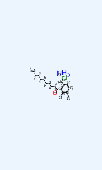 CCCCCCCCCCC(=O)c1c(CCl)ccc(C)c1C.N